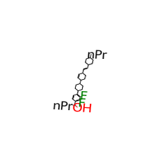 CCCC1CCC(/C=C/C2C=CC(C3CCC(c4ccc(C(O)CCC)c(F)c4F)CC3)CC2)CC1